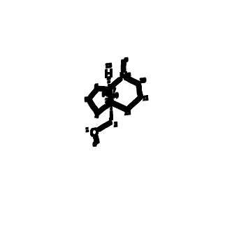 COC[C@]12CCC[C@H]1N(C)CCC2